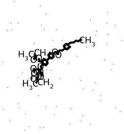 C=C(C)C(=O)OCc1cc(-c2ccc(OC(=O)CCc3ccc(CCCCCC)cc3)cc2)ccc1OCC(CO)(COC(=O)C(=C)C)CC(=O)O